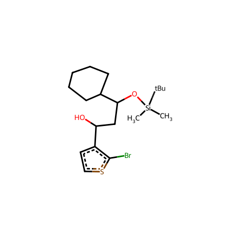 CC(C)(C)[Si](C)(C)OC(CC(O)c1ccsc1Br)C1CCCCC1